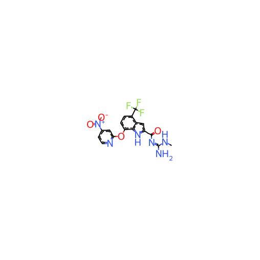 CNC(N)=NC(=O)c1cc2c(C(F)(F)F)ccc(Oc3cc([N+](=O)[O-])ccn3)c2[nH]1